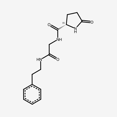 O=C(CNC(=O)[C@@H]1CCC(=O)N1)NCCc1ccccc1